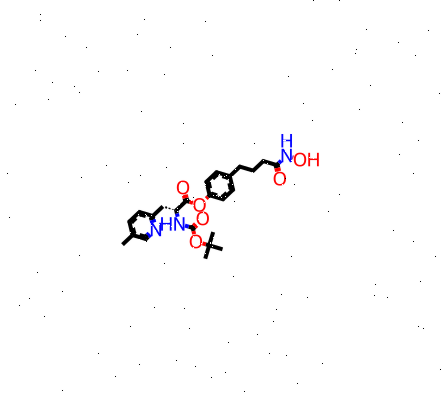 Cc1ccc(C[C@@H](NC(=O)OC(C)(C)C)C(=O)Oc2ccc(CCCC(=O)NO)cc2)nc1